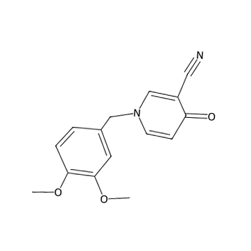 COc1ccc(Cn2ccc(=O)c(C#N)c2)cc1OC